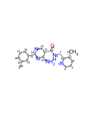 Cc1cccnc1CNC(=O)c1cnc(-c2cccc(F)c2)nc1N